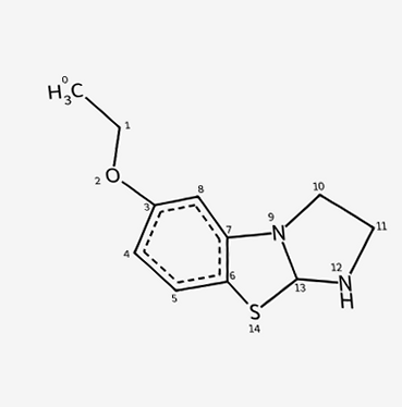 CCOc1ccc2c(c1)N1CCNC1S2